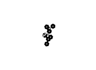 c1ccc(-c2cc3c4c(cccc4c2)N(c2ccc4c(c2)c2ccccc2n4-c2ccccc2)c2ncncc2-3)cc1